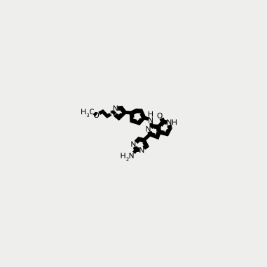 COCCn1cc(-c2ccc(Nc3nc(-c4cnc(N)nc4)cc4cc[nH]c(=O)c34)cc2)cn1